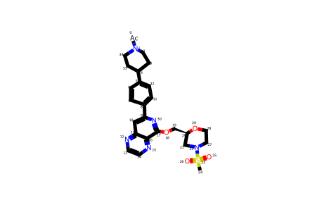 CC(=O)N1CCC(c2ccc(-c3cc4nccnc4c(OC[C@@H]4CN(S(C)(=O)=O)CCO4)n3)cc2)CC1